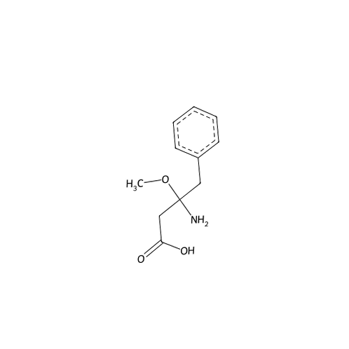 COC(N)(CC(=O)O)Cc1ccccc1